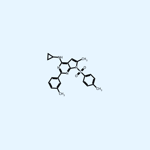 Cc1ccc(S(=O)(=O)n2c(C)cc3c(NC4CC4)nc(-c4cccc(C)c4)nc32)cc1